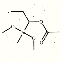 CCC(OC(C)=O)[Si](C)(OC)OC